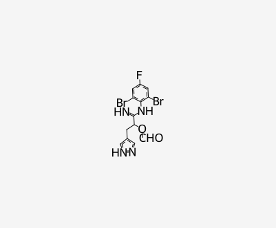 N=C(Nc1c(Br)cc(F)cc1Br)C(Cc1cn[nH]c1)OC=O